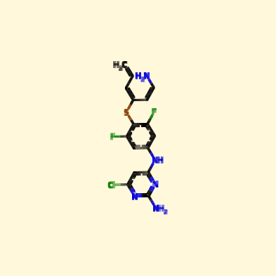 C=C/C=C(\C=C/N)Sc1c(F)cc(Nc2cc(Cl)nc(N)n2)cc1F